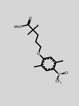 COC(=O)C(C)(C)CCCOc1cc(C)c([S+]([O-])C(F)(F)F)cc1C